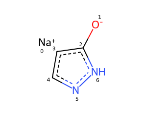 [Na+].[O-]c1ccn[nH]1